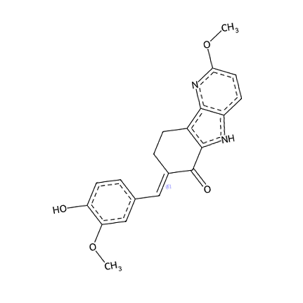 COc1ccc2[nH]c3c(c2n1)CC/C(=C\c1ccc(O)c(OC)c1)C3=O